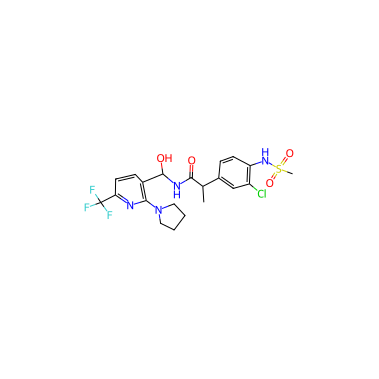 CC(C(=O)NC(O)c1ccc(C(F)(F)F)nc1N1CCCC1)c1ccc(NS(C)(=O)=O)c(Cl)c1